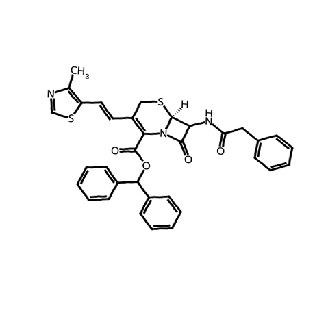 Cc1ncsc1C=CC1=C(C(=O)OC(c2ccccc2)c2ccccc2)N2C(=O)C(NC(=O)Cc3ccccc3)[C@@H]2SC1